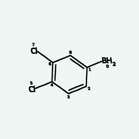 Bc1ccc(Cl)c(Cl)c1